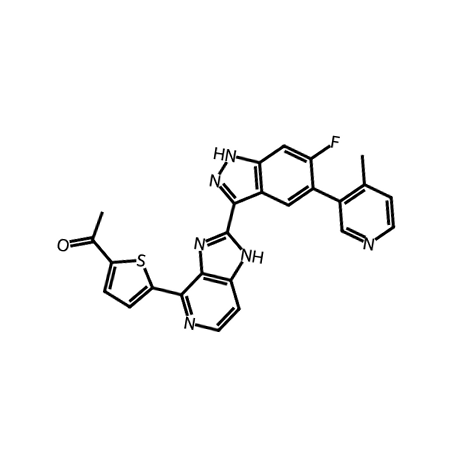 CC(=O)c1ccc(-c2nccc3[nH]c(-c4n[nH]c5cc(F)c(-c6cnccc6C)cc45)nc23)s1